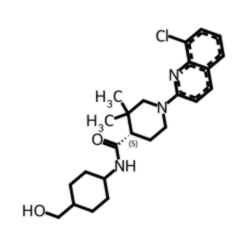 CC1(C)CN(c2ccc3cccc(Cl)c3n2)CC[C@@H]1C(=O)NC1CCC(CO)CC1